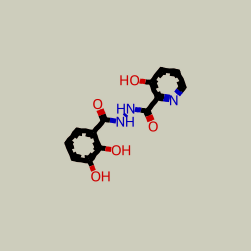 O=C(NNC(=O)c1ncccc1O)c1cccc(O)c1O